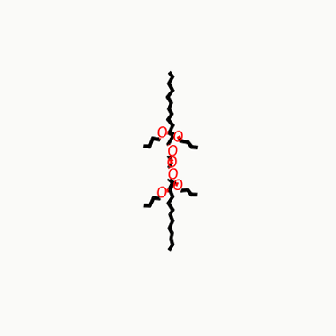 CCCCCCCCCCC(OCCCC)=C(COCOCOCC(OCCCC)=C(CCCCCCCCCC)OCCCC)OCCCC